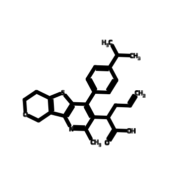 C=CCC(C(=O)O)c1c(C)nc2c3c(sc2c1-c1ccc(C(C)C)cc1)CCOC3